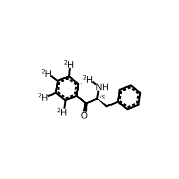 [2H]N[C@@H](Cc1ccccc1)C(=O)c1[c]c([2H])c([2H])c([2H])c1[2H]